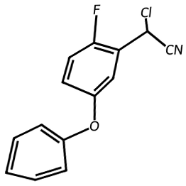 N#CC(Cl)c1cc(Oc2ccccc2)ccc1F